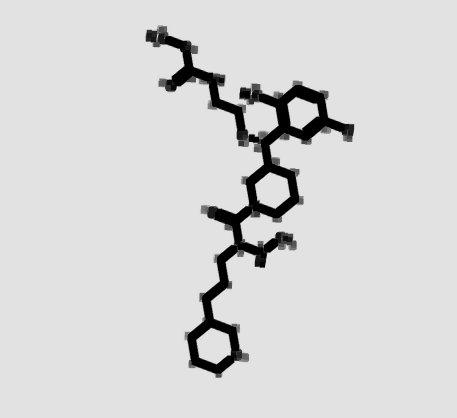 CNN(CCCC1CCCOC1)C(=O)N1CCCC([C@H](OCCNC(=O)OC)c2cc(Cl)ccc2C)C1